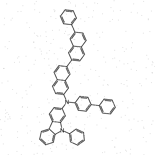 c1ccc(-c2ccc(N(c3ccc4ccc(-c5ccc6ccc(-c7ccccc7)cc6c5)cc4c3)c3ccc4c5ccccc5n(-c5ccccc5)c4c3)cc2)cc1